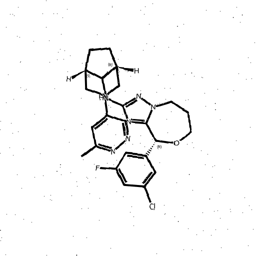 Cc1cc(N2C[C@H]3CC[C@@H](C2)C3Nc2nc3n(n2)CCCO[C@@H]3c2cc(F)cc(Cl)c2)cnn1